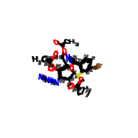 CC(=O)OC[C@H]1O[C@H](Sc2cc(Br)ccc2C#N)[C@H](OC(C)=O)[C@@H](N=[N+]=[N-])[C@H]1OC(C)=O